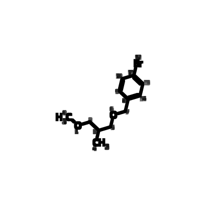 COCC(C)COCc1ccc(Br)cc1